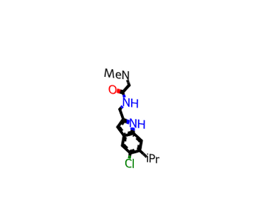 CNCC(=O)NCc1cc2cc(Cl)c(C(C)C)cc2[nH]1